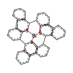 c1ccc(-c2cccc(-c3ccccc3)c2[S][Bi]([S]c2c(-c3ccccc3)cccc2-c2ccccc2)[S]c2c(-c3ccccc3)cccc2-c2ccccc2)cc1